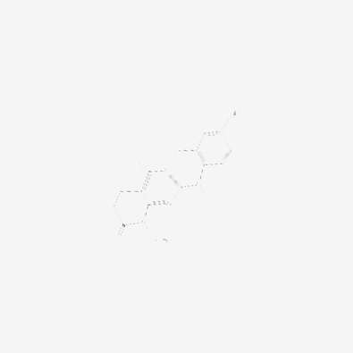 CCCCCCCN1C(=O)CCc2c(C)nc(N(CC)c3ccc(C(C)C)cc3Br)nc21